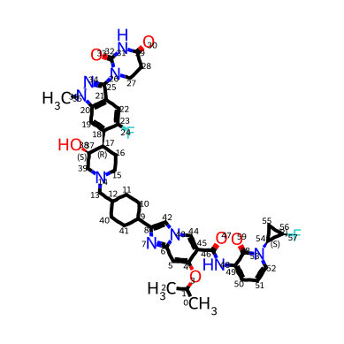 CC(C)Oc1cc2nc(C3CCC(CN4CC[C@H](c5cc6c(cc5F)c(N5CCC(=O)NC5=O)nn6C)[C@H](O)C4)CC3)cn2cc1C(=O)Nc1cccn([C@H]2C[C@H]2F)c1=O